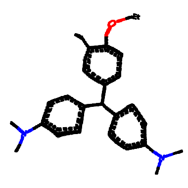 CCOc1ccc(C(c2ccc(N(C)C)cc2)c2ccc(N(C)C)cc2)cc1C